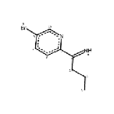 CC[CH]C(=N)c1ccc(Br)cn1